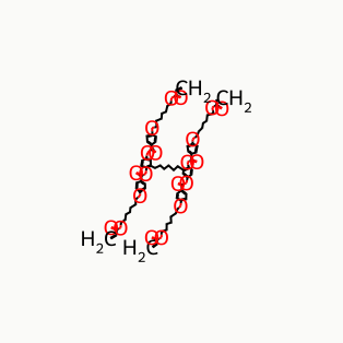 C=CC(=O)OCCCCCCCOc1ccc(C(=O)Oc2ccc(OC(=O)c3ccc(OCCCCCCCOC(=O)C=C)cc3)c(CCCCCCc3cc(OC(=O)c4ccc(OCCCCCCCOC(=O)C=C)cc4)ccc3OC(=O)c3ccc(OCCCCCCCOC(=O)C=C)cc3)c2)cc1